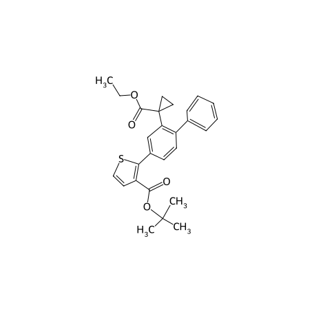 CCOC(=O)C1(c2cc(-c3sccc3C(=O)OC(C)(C)C)ccc2-c2ccccc2)CC1